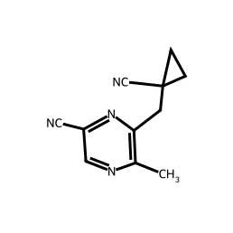 Cc1ncc(C#N)nc1CC1(C#N)CC1